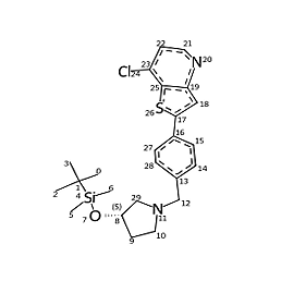 CC(C)(C)[Si](C)(C)O[C@H]1CCN(Cc2ccc(-c3cc4nccc(Cl)c4s3)cc2)C1